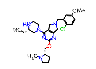 COc1ccc(Cl)c(CN2Cc3nc(OC[C@@H]4CCCN4C)nc(N4CCN[C@@H](CC#N)C4)c3C2)c1